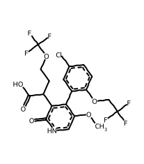 COc1c[nH]c(=O)c(C(CCOC(F)(F)F)C(=O)O)c1-c1cc(Cl)ccc1OCC(F)(F)F